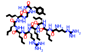 CCCC[C@H](NC(=O)[C@H](CCCC)NC(=O)[C@H](CCCC)NC(=O)[C@H](CCCNC(=N)N)NC(=O)[C@H](CCCC)NC(=O)[C@H](CCCC)NC(=O)[C@H](CCCC)NC(=O)[C@@H](N)CCCNC(=N)N)C(=O)NCC(=O)N[C@@H](Cc1ccc(C)cc1)C(N)=O